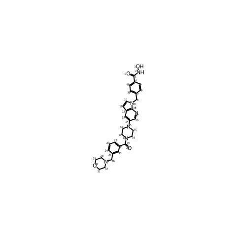 O=C(NO)c1ccc(Cn2ccc3cc(N4CCN(C(=O)c5cccc(CN6CCOCC6)c5)CC4)cnc32)cc1